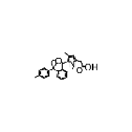 Cc1ccc(C(=O)c2ccccc2C(=O)c2c(C)cc(CC(=O)O)n2C)cc1